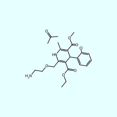 CC(C)=O.CCOC(=O)C1=C(COCCN)NC(C)=C(C(=O)OC)C1c1ccccc1Cl